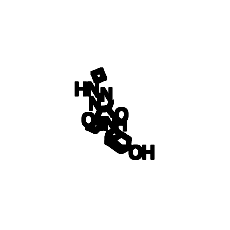 O=C(N[C@H]1C2CC3CC1C[C@@](O)(C3)C2)c1cnc(NC2CCC2)nc1C1CCCO1